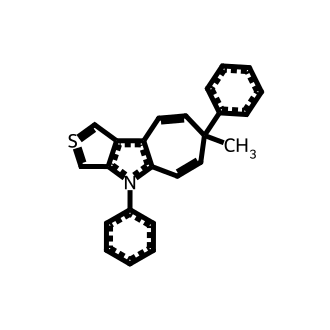 CC1(c2ccccc2)C=Cc2c3c(n(-c4ccccc4)c2C=C1)C=S=C3